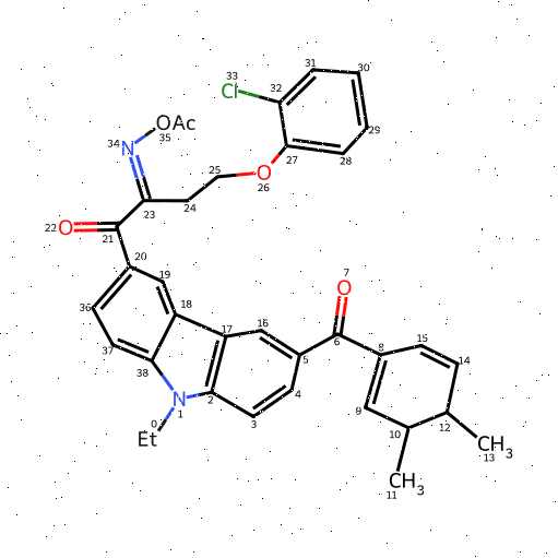 CCn1c2ccc(C(=O)C3=CC(C)C(C)C=C3)cc2c2cc(C(=O)/C(CCOc3ccccc3Cl)=N/OC(C)=O)ccc21